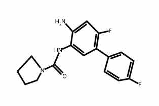 Nc1cc(F)c(-c2ccc(F)cc2)cc1NC(=O)N1CCCC1